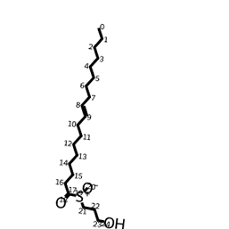 CCCCCCCCC=CCCCCCCCC(=O)[S+]([O-])CCCO